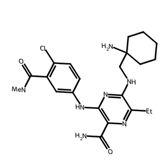 CCc1nc(C(N)=O)c(Nc2ccc(Cl)c(C(=O)NC)c2)nc1NCC1(N)CCCCC1